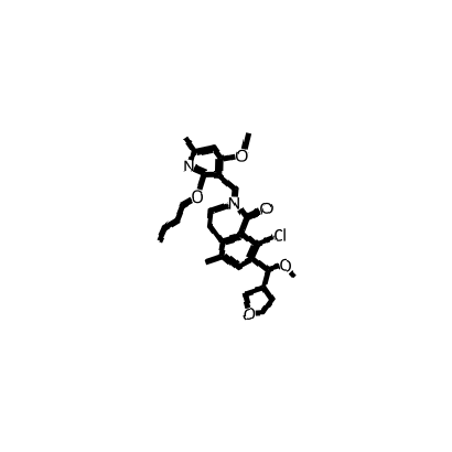 CCCCOc1nc(C)cc(OC)c1CN1CCc2c(C)cc(C(OC)C3CCOC3)c(Cl)c2C1=O